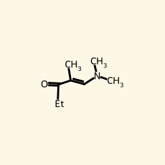 CCC(=O)C(C)=CN(C)C